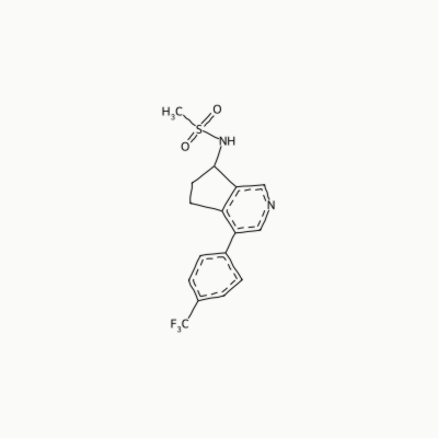 CS(=O)(=O)NC1CCc2c(-c3ccc(C(F)(F)F)cc3)cncc21